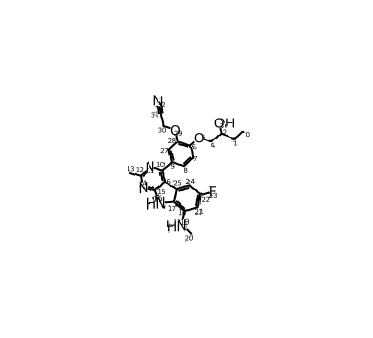 CCC(O)COc1ccc(-c2nc(C)nc3[nH]c4c(NC)cc(F)cc4c23)cc1OCC#N